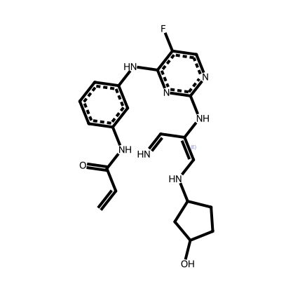 C=CC(=O)Nc1cccc(Nc2nc(N/C(C=N)=C/NC3CCC(O)C3)ncc2F)c1